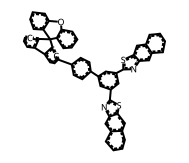 c1ccc2c(c1)Oc1ccccc1C21c2ccccc2-c2ccc(-c3ccc(-c4cc(-c5nc6cc7ccccc7cc6s5)cc(-c5nc6cc7ccccc7cc6s5)c4)cc3)cc21